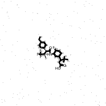 CCc1ccc([C@@H](C(=O)Nc2cc(C(CC(=O)O)C(C)(C)C)ccc2F)[C@@H](C)C(F)(F)F)cc1